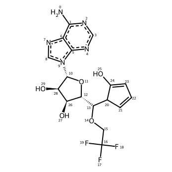 Nc1ncnc2c1ncn2[C@@H]1O[C@H](C(OCC(F)(F)F)C2C=CC=C2O)[C@@H](O)[C@H]1O